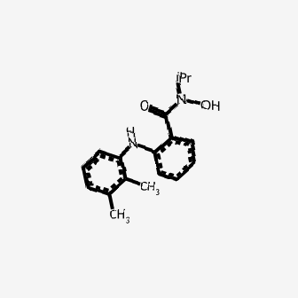 Cc1cccc(Nc2ccccc2C(=O)N(O)C(C)C)c1C